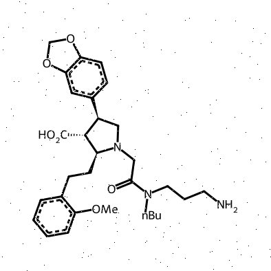 CCCCN(CCCN)C(=O)CN1C[C@H](c2ccc3c(c2)OCO3)[C@@H](C(=O)O)[C@@H]1CCc1ccccc1OC